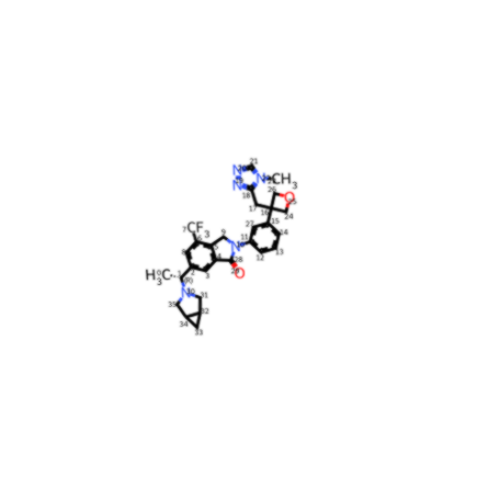 C[C@H](c1cc2c(c(C(F)(F)F)c1)CN(c1cccc(C3(Cc4nncn4C)COC3)c1)C2=O)N1CC2CC2C1